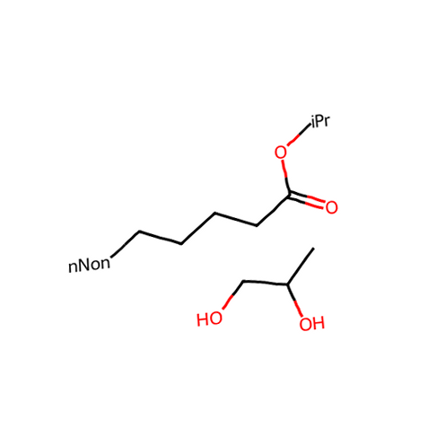 CC(O)CO.CCCCCCCCCCCCCC(=O)OC(C)C